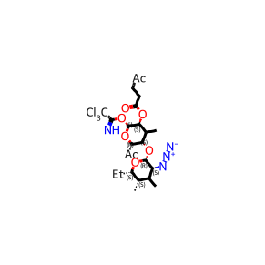 CC[C@@H]1O[C@H](O[C@H]2C(C)[C@H](OC(=O)CCC(C)=O)[C@H](OC(=N)C(Cl)(Cl)Cl)O[C@H]2C(C)=O)[C@@H](N=[N+]=[N-])C(C)[C@@H]1C